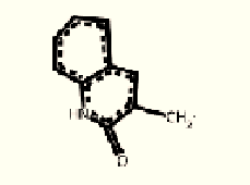 [CH2]c1cc2ccccc2[nH]c1=O